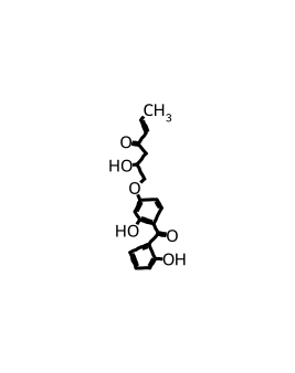 CC=CC(=O)CC(O)COc1ccc(C(=O)c2ccccc2O)c(O)c1